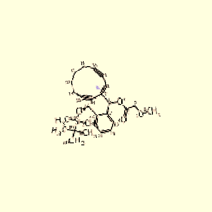 COCC(=O)OC(/C1=C/C#CCCCCC#C1)c1ccccc1CO[Si](C)(C)C(C)(C)C